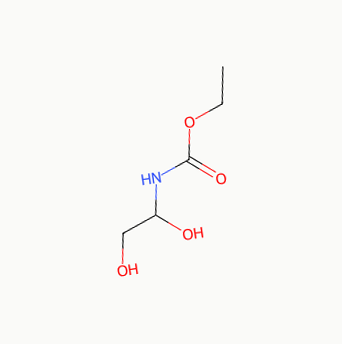 CCOC(=O)NC(O)CO